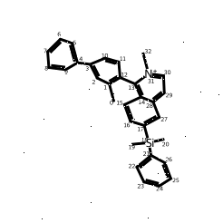 Cc1cc(-c2ccccc2)ccc1-c1c2ccc([Si](C)(C)c3ccccc3)cc2cc[n+]1C